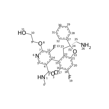 CNC(=O)c1cnc(OCCO)c(F)c1-c1c(Cl)c(F)cc2c1C[C@@](CN)(c1ccccc1)O2